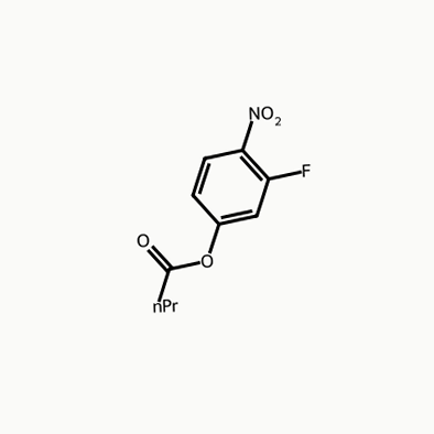 CCCC(=O)Oc1ccc([N+](=O)[O-])c(F)c1